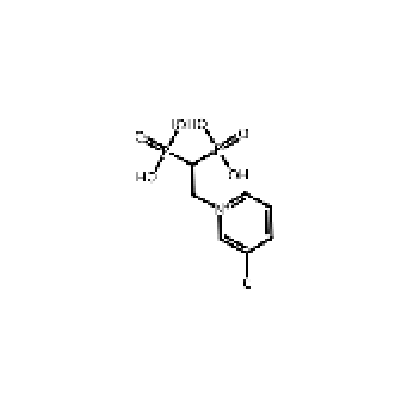 O=P(O)(O)C(C[n+]1cccc(Cl)c1)P(=O)(O)O